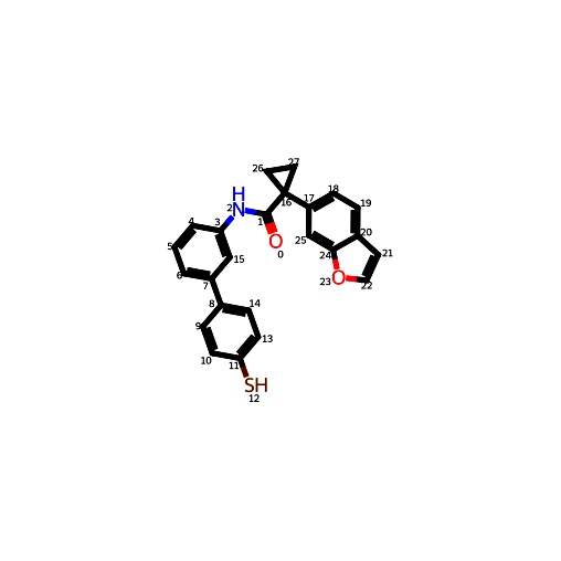 O=C(Nc1cccc(-c2ccc(S)cc2)c1)C1(c2ccc3ccoc3c2)CC1